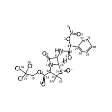 CC(=O)OC(C(=O)NC1C(=O)N2C(C(=O)OCC(Cl)(Cl)Cl)C(C)(C)[S+]([O-])[C@H]12)c1ccccc1